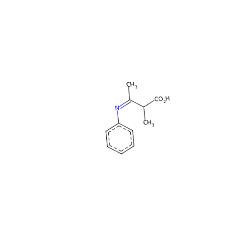 CC(=Nc1ccccc1)C(C)C(=O)O